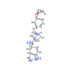 COc1cccc(CN2CC3(Nc4ccc5[nH]ncc5c4)CCC2CC3)c1